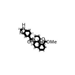 COC(=O)c1cccc2c1[C@@H]1CCCN(C(=O)c3ccc4[nH]cnc4c3)[C@@H]1CC2